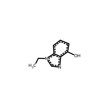 CCn1cnc2c(O)cccc21